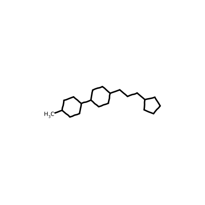 CC1CCC(C2CCC(CCCC3CCCC3)CC2)CC1